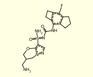 NCC1COc2c(S(N)(=O)=NC(=O)Nc3c4c(c(F)c5c3CC5)CCC4)cnn2C1